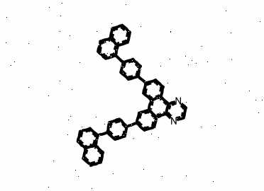 c1ccc2c(-c3ccc(-c4ccc5c(c4)c4cc(-c6ccc(-c7cccc8ccccc78)cc6)ccc4c4nccnc54)cc3)cccc2c1